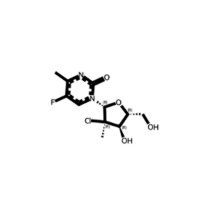 Cc1nc(=O)n([C@@H]2O[C@H](CO)[C@@H](O)[C@@]2(C)Cl)cc1F